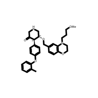 COCCCN1CCOc2ccc(CO[C@H]3CNCC(=O)[C@@H]3c3ccc(Oc4ccccc4C)cc3)cc21